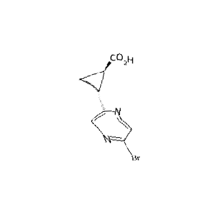 O=C(O)[C@@H]1C[C@H]1c1cnc(Br)cn1